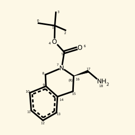 CC(C)(C)OC(=O)N1Cc2ccccc2C[C@@H]1CN